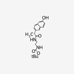 C[C@@H](C(=O)NCCNC(=O)OC(C)(C)C)c1ccc2cc(O)ccc2c1